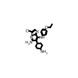 CCOc1ccc(Nc2c(C3CCC(N)CC3)c(N)nn3c(Cl)cnc23)cc1